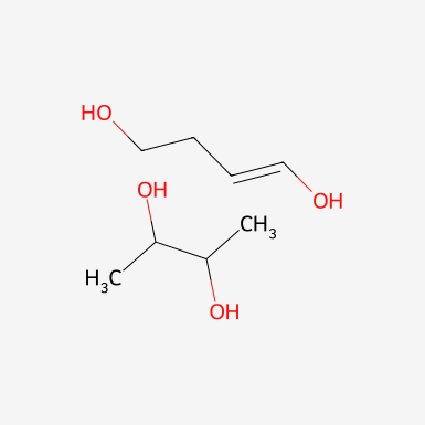 CC(O)C(C)O.OC=CCCO